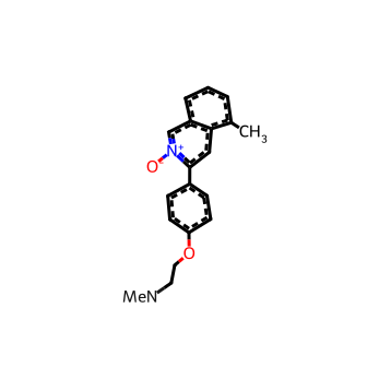 CNCCOc1ccc(-c2cc3c(C)cccc3c[n+]2[O-])cc1